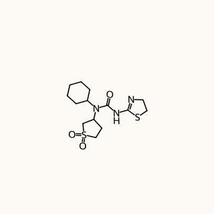 O=C(NC1=NCCS1)N(C1CCCCC1)C1CCS(=O)(=O)C1